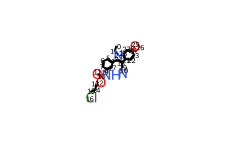 CCn1c(-c2cccc(NC(=O)OCCCCl)c2)c(C#N)c2ccc(OC)cc21